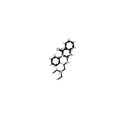 CCN(CC)CCSc1nc2ccccc2c(=O)n1-c1ccccc1